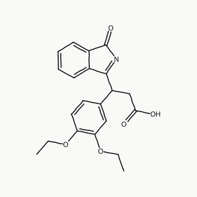 CCOc1ccc(C(CC(=O)O)C2=NC(=O)c3ccccc32)cc1OCC